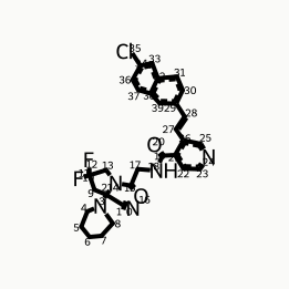 N#CC1(N2CCCCC2)CC(F)(F)CN1C(=O)CNC(=O)c1ccncc1C=Cc1ccc2cc(Cl)ccc2c1